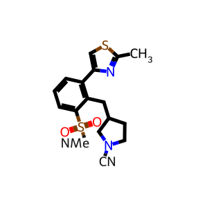 CNS(=O)(=O)c1cccc(-c2csc(C)n2)c1CC1CCN(C#N)C1